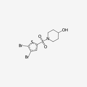 O=S(=O)(c1cc(Br)c(Br)s1)N1CCC(O)CC1